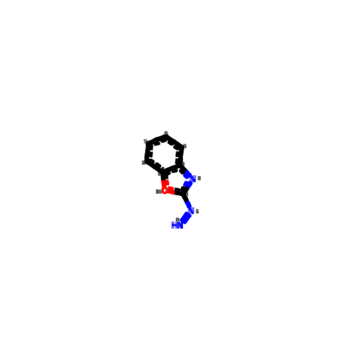 N=Nc1nc2ccccc2o1